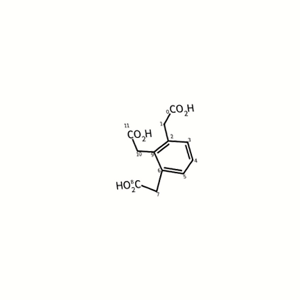 O=C(O)Cc1cccc(CC(=O)O)c1CC(=O)O